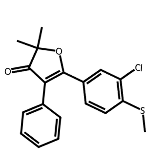 CSc1ccc(C2=C(c3ccccc3)C(=O)C(C)(C)O2)cc1Cl